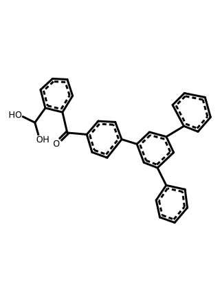 O=C(c1ccc(-c2cc(-c3ccccc3)cc(-c3ccccc3)c2)cc1)c1ccccc1C(O)O